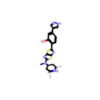 C[C@@H]1CC(N(C)c2nc3sc(-c4ccc(-c5cn[nH]c5)cc4O)nc3s2)C[C@H](C)N1